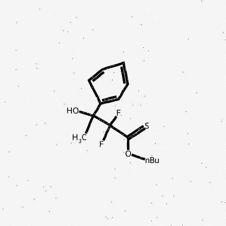 CCCCOC(=S)C(F)(F)C(C)(O)c1ccccc1